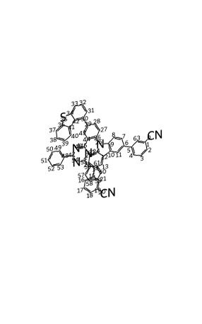 N#Cc1cccc(-c2ccc3c(c2)c2cc(-c4cccc(C#N)c4)ccc2n3-c2ccc(-c3cccc4sc5ccccc5c34)cc2-c2nc(-c3ccccc3)nc(-c3ccccc3)n2)c1